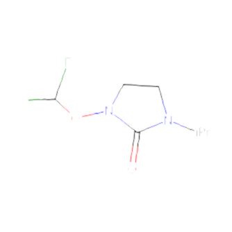 CC(C)N1CCN(OC(F)F)C1=O